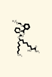 CCCCCC[C@H](CCCCC[C@@H](O)C(N)=O)OC(=O)[C@@H]1CCCCN1C(=O)c1ccccc1OCOC